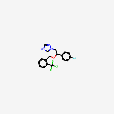 Fc1ccc(C(CN2CNC=N2)OCc2ccccc2C(Cl)(Cl)Cl)cc1